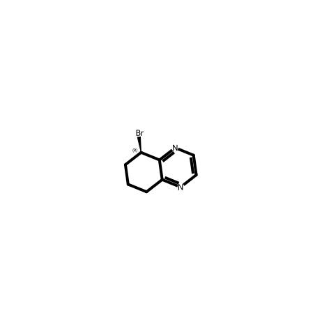 Br[C@@H]1CCCc2nccnc21